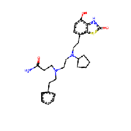 NC(=O)CCN(CCc1ccccc1)CCN(CCc1ccc(O)c2[nH]c(=O)sc12)C1CCCC1